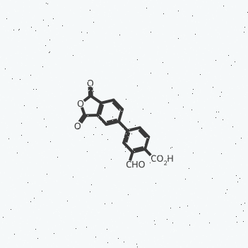 O=Cc1cc(-c2ccc3c(c2)C(=O)OC3=O)ccc1C(=O)O